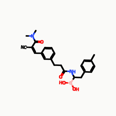 Cc1ccc(CC(NC(=O)CCc2cccc(C=C(C#N)C(=O)N(C)C)c2)B(O)O)cc1